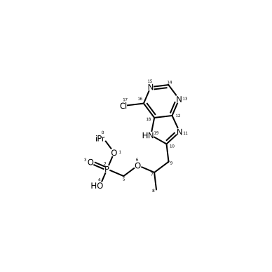 CC(C)OP(=O)(O)COC(C)Cc1nc2ncnc(Cl)c2[nH]1